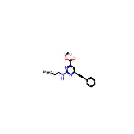 CCCCOC(=O)c1cc(C#Cc2ccccc2)nc(NCCOC)n1